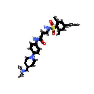 CCN(CC)CC1CCN(c2ccc(NC(=O)CCNS(=O)(=O)c3c(C)cc(OC)cc3C)cc2)CC1